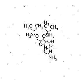 CCC(CC)[SiH2]OCC1OC(n2ccc(N)nc2=O)C(O)C1O[SiH2]C(CC)CC